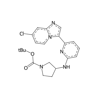 CC(C)(C)OC(=O)N1CCC(Nc2cccc(-c3cnc4cc(Cl)ccn34)n2)C1